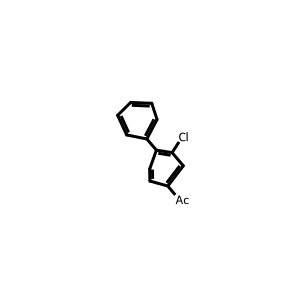 CC(=O)c1ccc(-c2ccccc2)c(Cl)c1